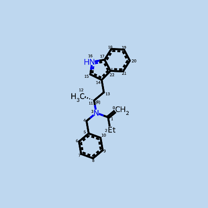 C=C(CC)N(Cc1ccccc1)[C@H](C)Cc1c[nH]c2ccccc12